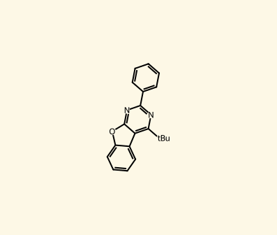 CC(C)(C)c1nc(-c2ccccc2)nc2oc3ccccc3c12